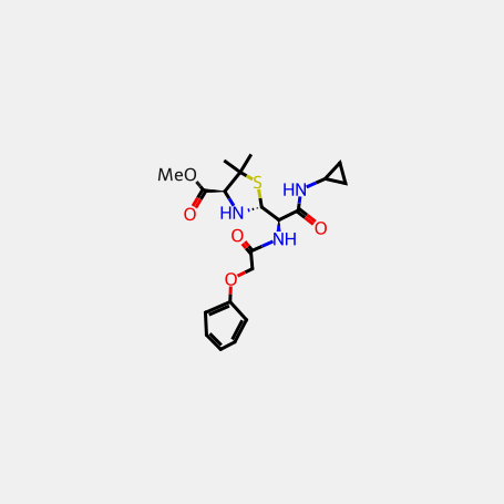 COC(=O)[C@@H]1N[C@@H]([C@H](NC(=O)COc2ccccc2)C(=O)NC2CC2)SC1(C)C